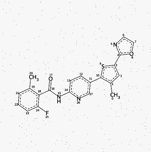 Cc1cc(-c2ncco2)sc1-c1ccc(NC(=O)c2c(C)cccc2F)nc1